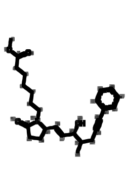 COC(=O)CCCCCCN1C(=O)CC[C@@H]1/C=C/[C@@H](O)C(C)CC#Cc1ccccc1